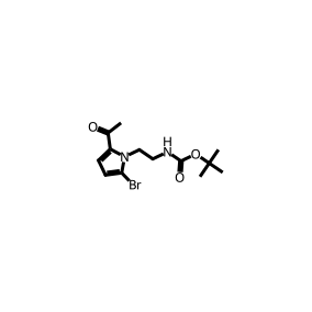 CC(=O)c1ccc(Br)n1CCNC(=O)OC(C)(C)C